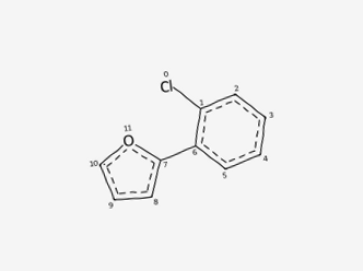 Clc1ccccc1-c1cc[c]o1